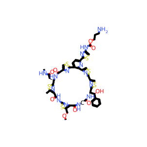 CNC(=O)C[C@@H]1NC(=O)c2csc(n2)-c2ccc(-c3nc(NC(=O)OCCCN)cs3)nc2-c2csc(n2)-c2csc(n2)[C@H]([C@@H](O)c2ccccc2)NC(=O)CNC(=O)c2nc(sc2COC)NC(=O)c2nc1sc2C